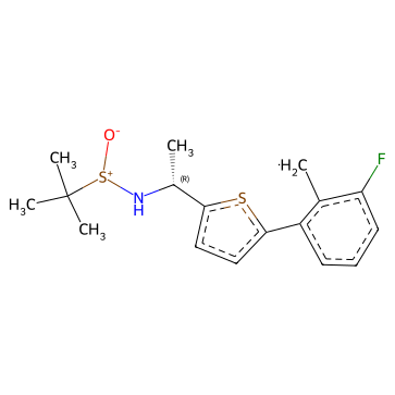 [CH2]c1c(F)cccc1-c1ccc([C@@H](C)N[S+]([O-])C(C)(C)C)s1